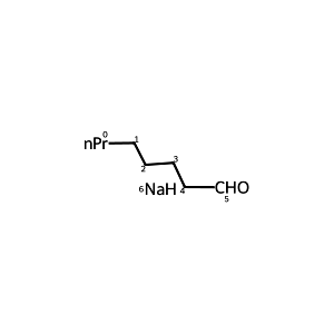 CCCCCCCC=O.[NaH]